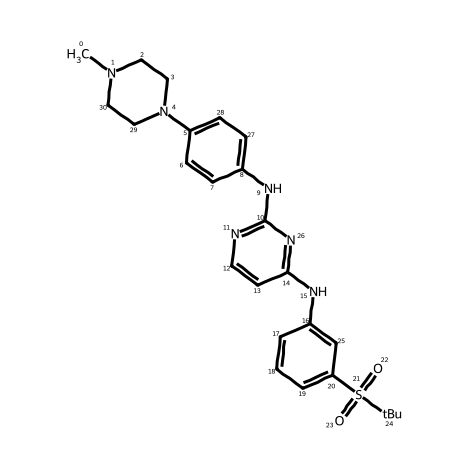 CN1CCN(c2ccc(Nc3nccc(Nc4cccc(S(=O)(=O)C(C)(C)C)c4)n3)cc2)CC1